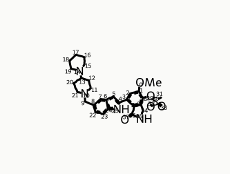 COc1cc(-c2cc3cc(CN4CCC(N5CCCCC5)CC4)ccc3[nH]2)c2c(c1OS(C)(=O)=O)CNC2=O